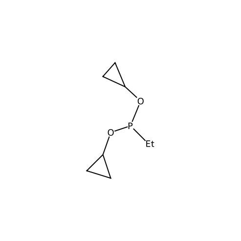 CCP(OC1CC1)OC1CC1